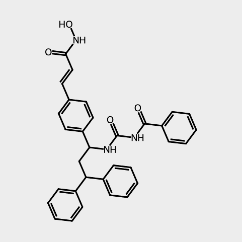 O=C(C=Cc1ccc(C(CC(c2ccccc2)c2ccccc2)NC(=O)NC(=O)c2ccccc2)cc1)NO